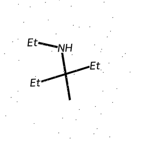 [CH2]CNC(C)(CC)CC